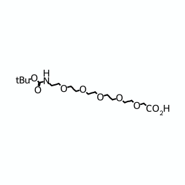 CC(C)(C)OC(=O)NCCOCCOCCOCCOCCOCC(=O)O